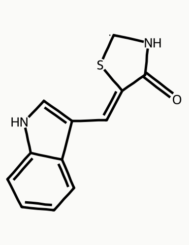 O=C1N[CH]SC1=Cc1c[nH]c2ccccc12